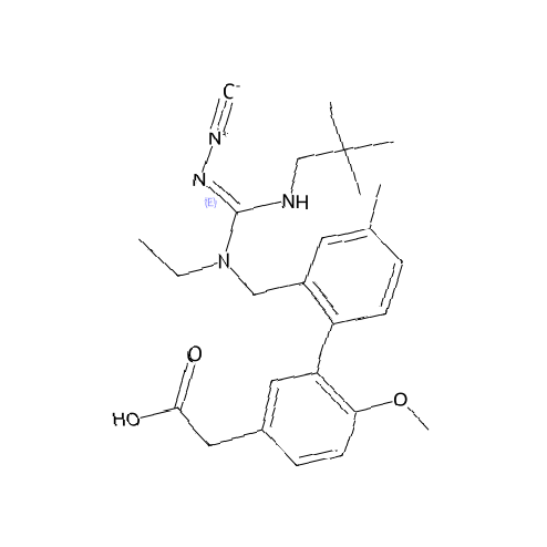 [C-]#[N+]/N=C(\NCC(C)(C)C)N(CC)Cc1cc(C)ccc1-c1cc(CC(=O)O)ccc1OC